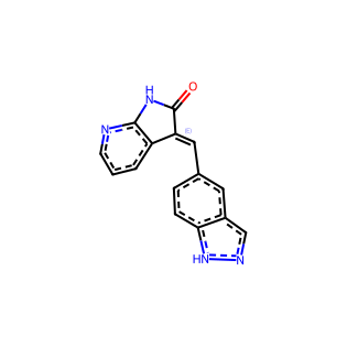 O=C1Nc2ncccc2/C1=C\c1ccc2[nH]ncc2c1